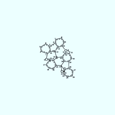 Cc1cccc2c3cccc(C)c3n(B3c4ccccc4C4(C)c5ccccc5-c5cccc3c54)c12